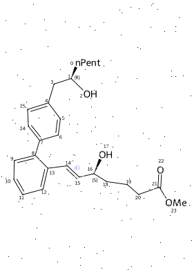 CCCCC[C@@H](O)Cc1ccc(-c2ccccc2/C=C/[C@@H](O)CCCC(=O)OC)cc1